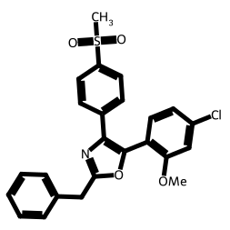 COc1cc(Cl)ccc1-c1oc(Cc2ccccc2)nc1-c1ccc(S(C)(=O)=O)cc1